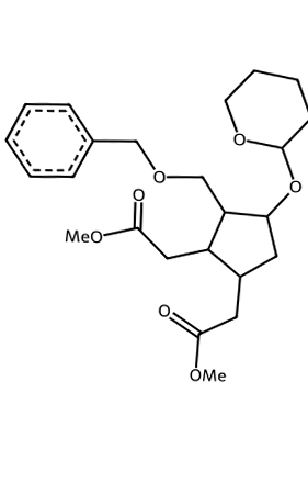 COC(=O)CC1CC(OC2CCCCO2)C(COCc2ccccc2)C1CC(=O)OC